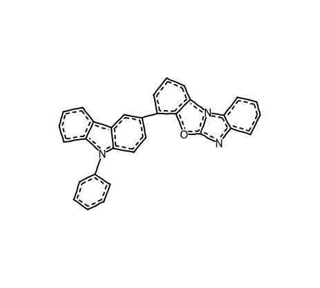 c1ccc(-n2c3ccccc3c3cc(-c4cccc5c4oc4nc6ccccc6n45)ccc32)cc1